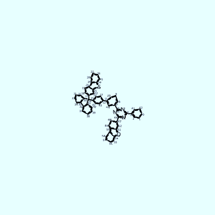 c1ccc(-c2nc(-c3cccc(-c4ccc(C5(c6ccc7c(c6)sc6ccccc67)c6ccccc6-c6ccccc65)cc4)c3)nc(-c3ccc4c(c3)oc3ccccc34)n2)cc1